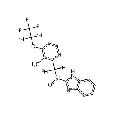 [2H]C([2H])(c1nccc(OC([2H])([2H])C(F)(F)F)c1C)[S+]([O-])c1nc2ccccc2[nH]1